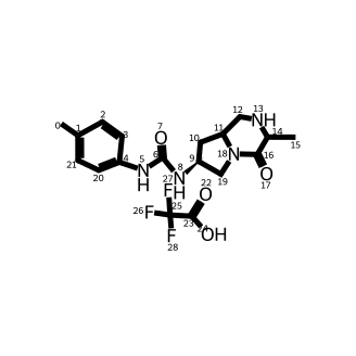 Cc1ccc(NC(=O)N[C@H]2CC3CNC(C)C(=O)N3C2)cc1.O=C(O)C(F)(F)F